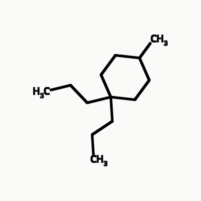 CCCC1(CCC)CCC(C)CC1